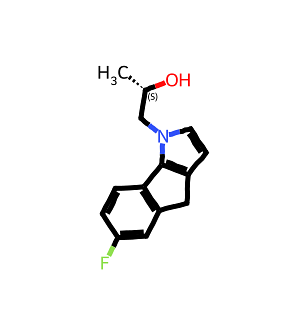 C[C@H](O)Cn1ccc2c1-c1ccc(F)cc1C2